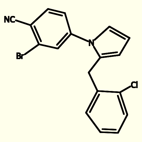 N#Cc1ccc(-n2cccc2Cc2ccccc2Cl)cc1Br